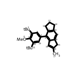 COc1c(C(C)(C)C)cc(-c2c3c(cc4c2CCC4)[CH]C(C)=C3)cc1C(C)(C)C